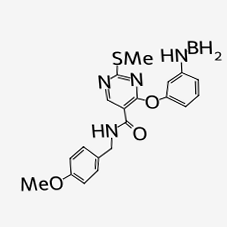 BNc1cccc(Oc2nc(SC)ncc2C(=O)NCc2ccc(OC)cc2)c1